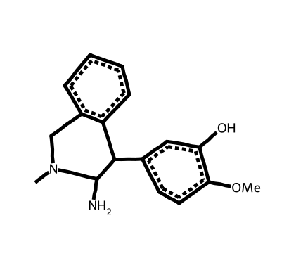 COc1ccc(C2c3ccccc3CN(C)C2N)cc1O